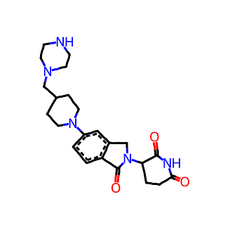 O=C1CCC(N2Cc3cc(N4CCC(CN5CCNCC5)CC4)ccc3C2=O)C(=O)N1